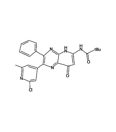 Cc1cc(-c2nc3c(=O)cc(NC(=O)C(C)(C)C)[nH]c3nc2-c2ccccc2)cc(Cl)n1